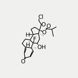 CC(C)C(=O)O[C@]1(C(=O)CCl)CC[C@H]2[C@@H]3CCC4=CC(=O)C=C[C@]4(C)[C@@]3(F)C(O)C[C@@]21C